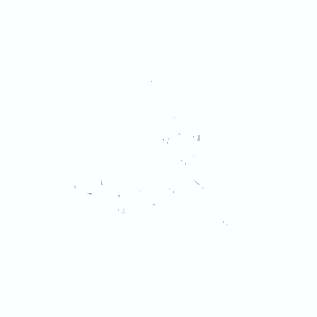 CC/C(=C\C(=N)NC1=NC(NC/C(O)=C/C(=N)c2ccccc2)=NC(OC2CCN(C)C2)C1C)C1CC1